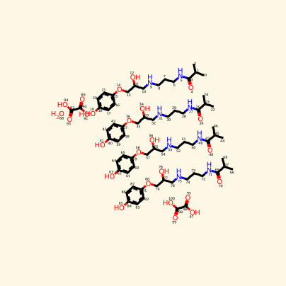 CC(C)C(=O)NCCCNCC(O)COc1ccc(O)cc1.CC(C)C(=O)NCCCNCC(O)COc1ccc(O)cc1.CC(C)C(=O)NCCCNCC(O)COc1ccc(O)cc1.CC(C)C(=O)NCCCNCC(O)COc1ccc(O)cc1.O.O=C(O)C(=O)O.O=C(O)C(=O)O